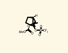 COC(=O)[C@]12CC[C@H](C=C1OS(=O)(=O)C(F)(F)F)C2(C)C